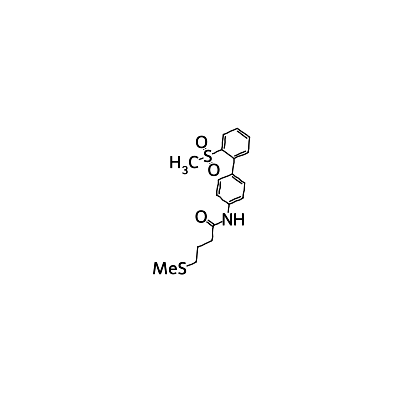 CSCCCC(=O)Nc1ccc(-c2ccccc2S(C)(=O)=O)cc1